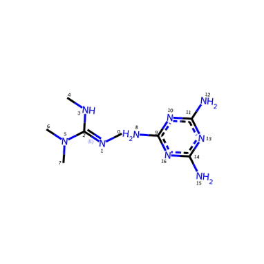 C/N=C(\NC)N(C)C.Nc1nc(N)nc(N)n1